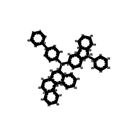 c1ccc(-c2ccc(N(c3ccc4c(c3)c3ccccc3n4-c3ccccc3)c3cc4ccc5ccccc5c4c4ccccc34)cc2)cc1